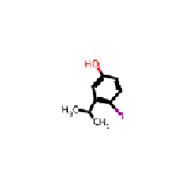 CC(C)c1cc(O)ccc1I